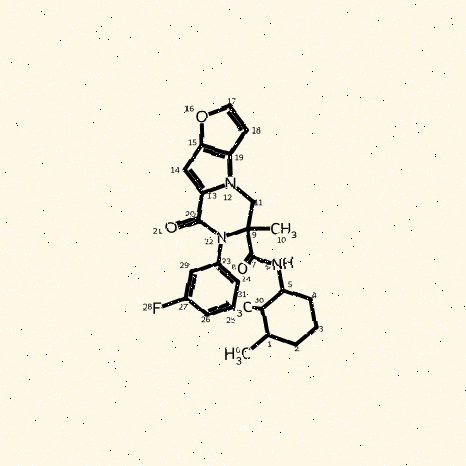 CC1CCCC(NC(=O)C2(C)Cn3c(cc4occc43)C(=O)N2c2cccc(F)c2)C1C